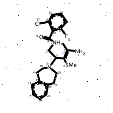 CS/C(=C(/C)N)C(CNC(=O)c1c(F)cccc1Cl)N1CCc2ccccc2CC1